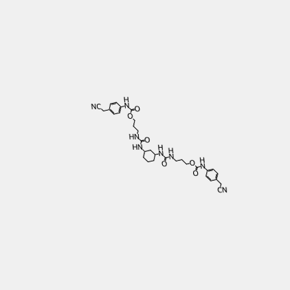 N#CCc1ccc(NC(=O)OCCCNC(=O)NC2CCCC(NC(=O)NCCCOC(=O)Nc3ccc(CC#N)cc3)C2)cc1